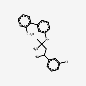 CC(N)(CC(O)c1cccc(Cl)c1)Nc1cccc(-c2cccnc2C(=O)O)c1